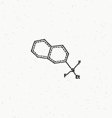 CC[Si](F)(F)c1ccc2ccccc2c1